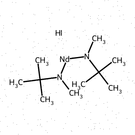 C[N]([Nd][N](C)C(C)(C)C)C(C)(C)C.I